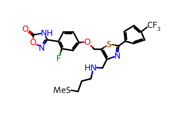 CSCCCNCc1nc(-c2ccc(C(F)(F)F)cc2)sc1COc1ccc(-c2noc(=O)[nH]2)c(F)c1